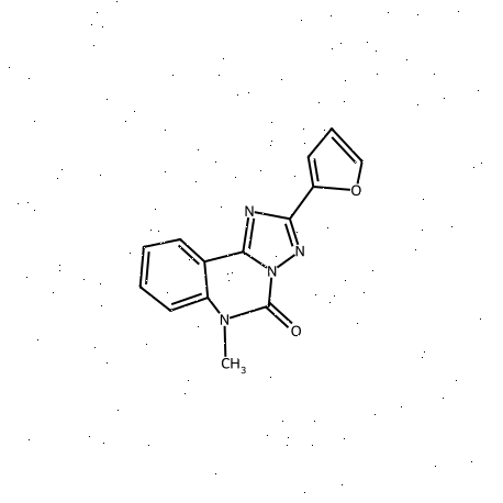 Cn1c(=O)n2nc(-c3ccco3)nc2c2ccccc21